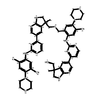 CC1(CO)CNc2ncc(-c3ccnc(Nc4cc(C#N)c(N5CCOCC5)cc4COCC4(C)CNc5ncc(-c6ccnc(Nc7cc(C#N)c(N8CCOCC8)cc7Cl)n6)cc54)n3)cc21